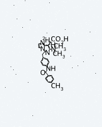 [2H]C([2H])(C(=O)O)c1c(N(C)C)nc(Cc2ccc(NC(=O)c3ccc(C)cc3)cc2)n2ccnc12